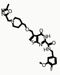 COc1cc(CNC(=O)c2nc3scc(COCC4CCN(Cc5nnc(C)o5)CC4)c3c(=O)[nH]2)ccc1F